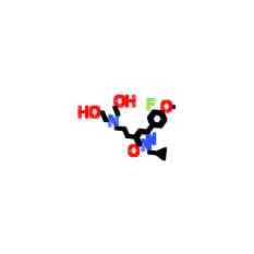 COc1ccc(-c2cc(CCCN(CCO)CCO)c(=O)n(CC3CC3)n2)cc1F